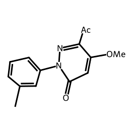 COc1cc(=O)n(-c2cccc(C)c2)nc1C(C)=O